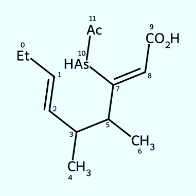 CCC=CC(C)C(C)C(=CC(=O)O)[AsH]C(C)=O